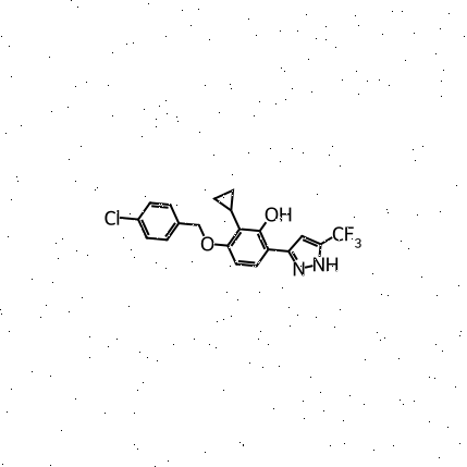 Oc1c(-c2cc(C(F)(F)F)[nH]n2)ccc(OCc2ccc(Cl)cc2)c1C1CC1